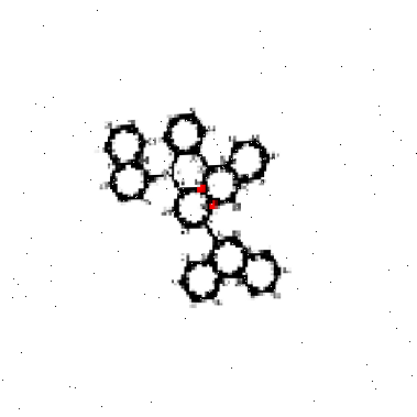 c1ccc(N(c2ccc(-c3cc4ccccc4c4ccccc34)cc2)c2cccc3ccccc23)c(-c2cccc3ccccc23)c1